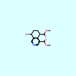 COC(=O)c1cncc2c1C(C(=O)OC)CCC2Br